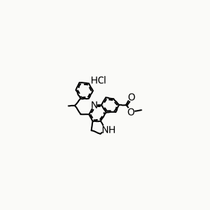 COC(=O)c1ccc2nc(CC(C)c3ccccc3)c3c(c2c1)NCC3.Cl